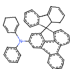 C1=CCC2C(=C1)c1ccccc1C21c2cccc3c4ccccc4c4cc(N(C5=CCCC=C5)c5ccccc5)cc1c4c23